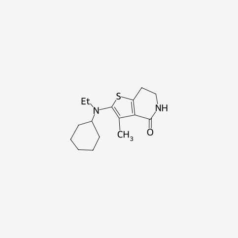 CCN(c1sc2c(c1C)C(=O)NCC2)C1CCCCC1